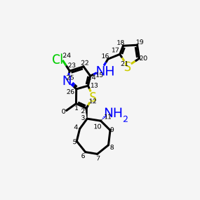 Cc1c([C@@H]2CCCCCC[C@H]2N)sc2c(NCc3cccs3)cc(Cl)nc12